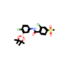 CC1(C)OB(c2cc(NC(=O)c3ccc(S(C)(=O)=O)cc3Cl)ccc2Cl)OC1(C)C